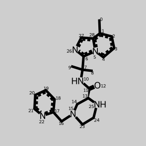 Cc1cccn2c(C(C)(C)NC(=O)[C@@H]3CN(Cc4ccccn4)CCN3)ncc12